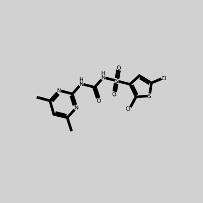 Cc1cc(C)nc(NC(=O)NS(=O)(=O)c2cc(Cl)sc2Cl)n1